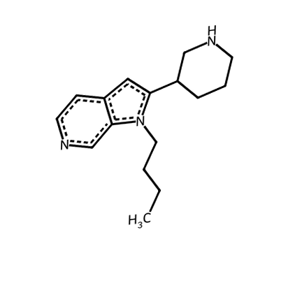 CCCCn1c(C2CCCNC2)cc2ccncc21